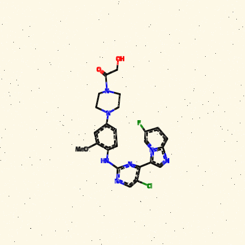 COc1cc(N2CCN(C(=O)CO)CC2)ccc1Nc1ncc(Cl)c(-c2cnc3ccc(F)cn23)n1